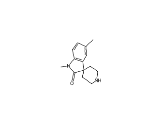 Cc1ccc2c(c1)C1(CCNCC1)C(=O)N2C